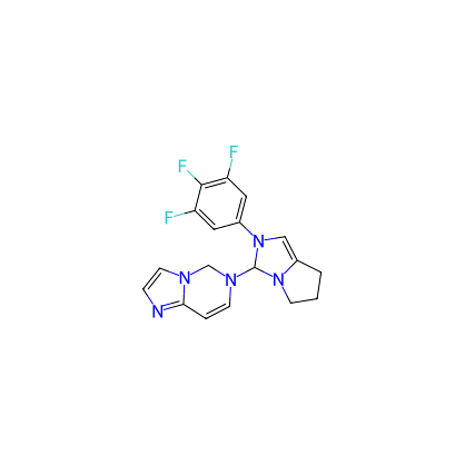 Fc1cc(N2C=C3CCCN3C2N2C=Cc3nccn3C2)cc(F)c1F